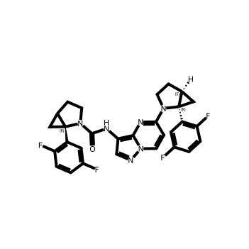 O=C(Nc1cnn2ccc(N3CC[C@H]4C[C@]43c3cc(F)ccc3F)nc12)N1CCC2C[C@]21c1cc(F)ccc1F